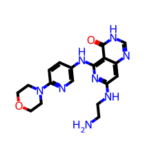 NCCNc1cc2nc[nH]c(=O)c2c(Nc2ccc(N3CCOCC3)nc2)n1